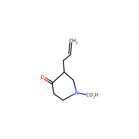 C=CCC1CN(C(=O)O)CCC1=O